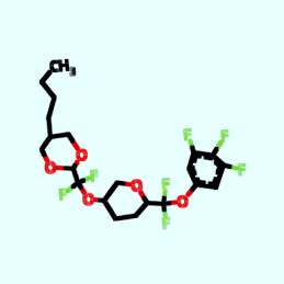 CCCCC1COC(C(F)(F)OC2CCC(C(F)(F)Oc3cc(F)c(F)c(F)c3)OC2)OC1